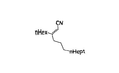 CCCCCCCCCCC(=CC#N)CCCCCC